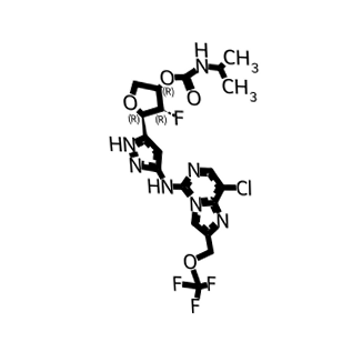 CC(C)NC(=O)O[C@@H]1CO[C@H](c2cc(Nc3ncc(Cl)c4nc(COC(F)(F)F)cn34)n[nH]2)[C@H]1F